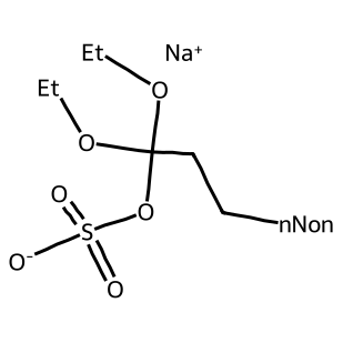 CCCCCCCCCCCC(OCC)(OCC)OS(=O)(=O)[O-].[Na+]